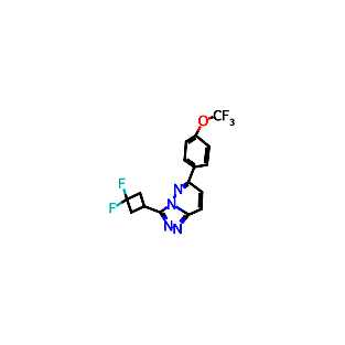 FC1(F)CC(c2nnc3ccc(-c4ccc(OC(F)(F)F)cc4)nn23)C1